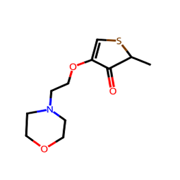 CC1SC=C(OCCN2CCOCC2)C1=O